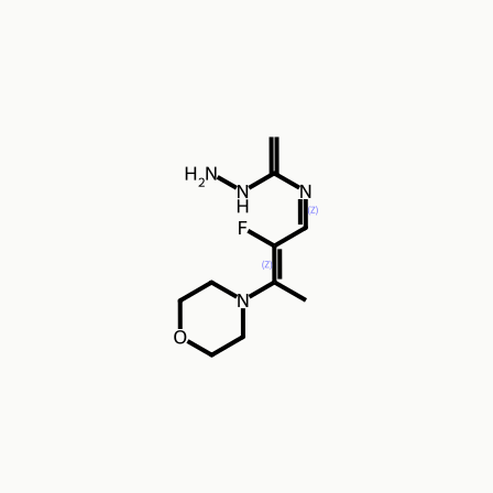 C=C(/N=C\C(F)=C(/C)N1CCOCC1)NN